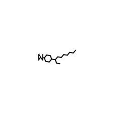 CCCCCCCC(CC)C1CCC(N(C)C)CC1